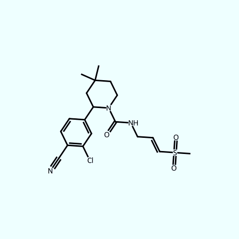 CC1(C)CCN(C(=O)NC/C=C/S(C)(=O)=O)C(c2ccc(C#N)c(Cl)c2)C1